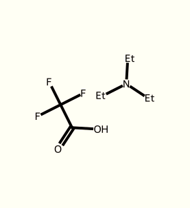 CCN(CC)CC.O=C(O)C(F)(F)F